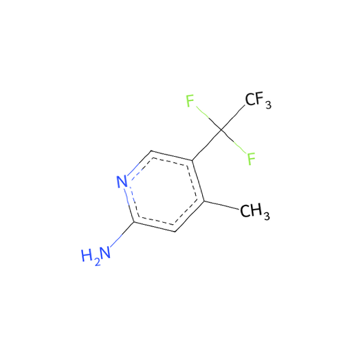 Cc1cc(N)ncc1C(F)(F)C(F)(F)F